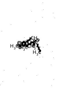 CCCCCCN1C(=O)/C(=C\C=C2/N(CCCC)c3ccc(C(=O)N(C)C)cc3C2(C)C)SC1=S